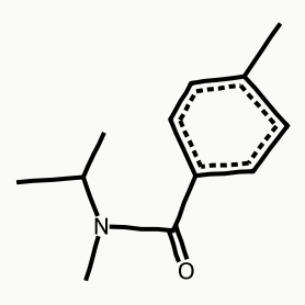 Cc1ccc(C(=O)N(C)C(C)C)cc1